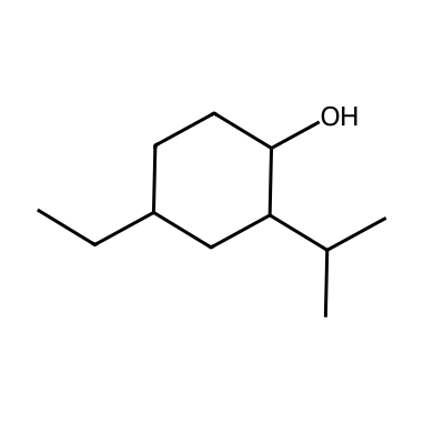 CCC1CCC(O)C(C(C)C)C1